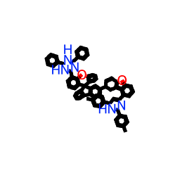 Cc1ccc(C2=NC(c3cccc4oc5c(c34)CC(c3ccc4c(c3)C3(c6ccccc6Oc6c(C7=NC(c8ccccc8)NC(c8ccccc8)N7)cccc63)c3ccccc3-4)C=C5)=CC(c3ccc(C)cc3)N2)cc1